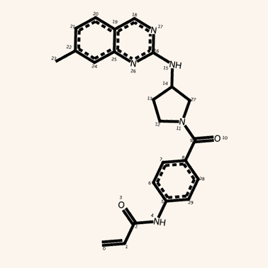 C=CC(=O)Nc1ccc(C(=O)N2CCC(Nc3ncc4ccc(C)cc4n3)C2)cc1